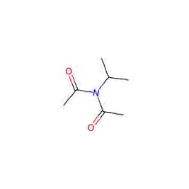 CC(=O)N(C(C)=O)C(C)C